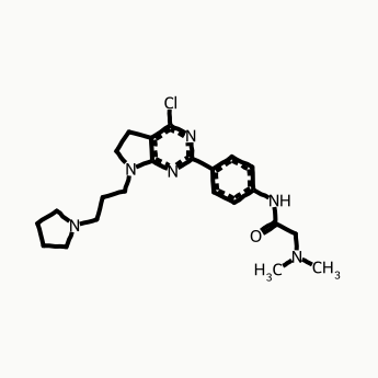 CN(C)CC(=O)Nc1ccc(-c2nc(Cl)c3c(n2)N(CCCN2CCCC2)CC3)cc1